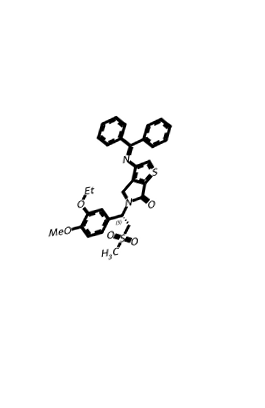 CCOc1cc([C@@H](CS(C)(=O)=O)N2Cc3c(N=C(c4ccccc4)c4ccccc4)csc3C2=O)ccc1OC